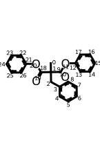 CC(Cc1ccccc1)(C(=O)Oc1ccccc1)C(=O)Oc1ccccc1